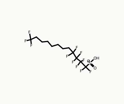 O=S(=O)(O)C(F)(F)C(F)(F)C(F)(F)C(F)(F)CCCCCCCC(F)(F)F